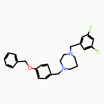 Fc1cc(F)cc(CN2CCCN(Cc3ccc(OCc4ccccc4)cc3)CC2)c1